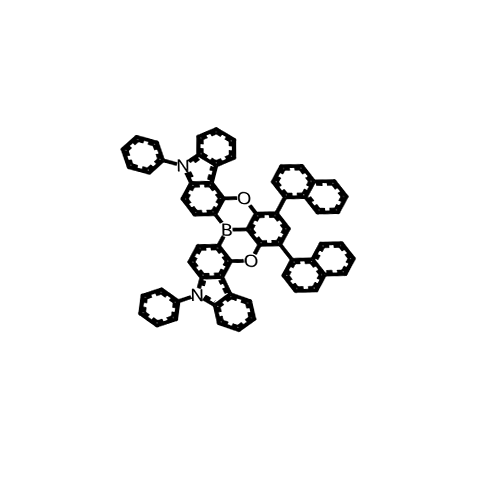 c1ccc(-n2c3ccccc3c3c4c(ccc32)B2c3ccc5c(c3Oc3c(-c6cccc7ccccc67)cc(-c6cccc7ccccc67)c(c32)O4)c2ccccc2n5-c2ccccc2)cc1